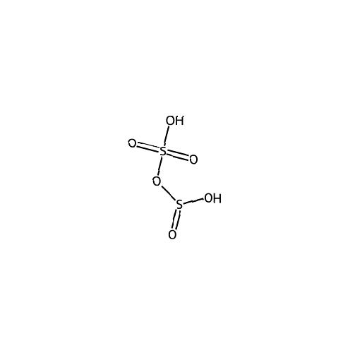 O=S(O)OS(=O)(=O)O